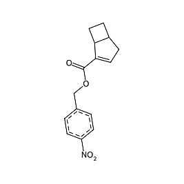 O=C(OCc1ccc([N+](=O)[O-])cc1)C1=CCC2CCC12